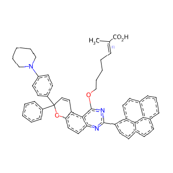 C/C(=C\CCCCOc1nc(-c2ccc3ccc4cccc5ccc2c3c45)nc2ccc3c(c12)C=CC(c1ccccc1)(c1ccc(N2CCCCC2)cc1)O3)C(=O)O